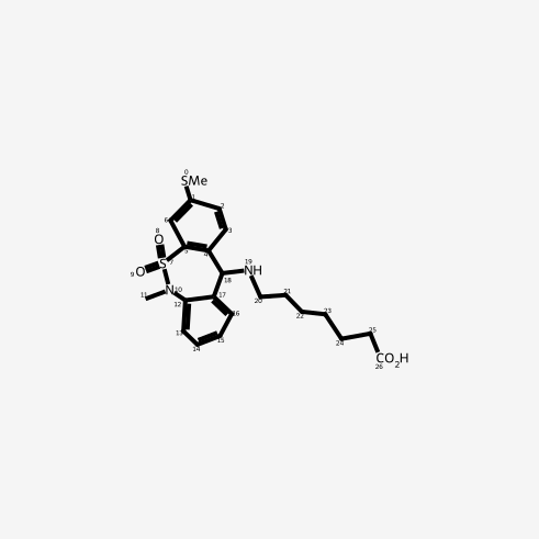 CSc1ccc2c(c1)S(=O)(=O)N(C)c1ccccc1C2NCCCCCCC(=O)O